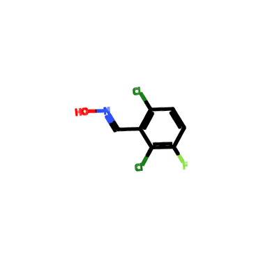 ON=Cc1c(Cl)ccc(F)c1Cl